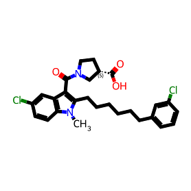 Cn1c(CCCCCCc2cccc(Cl)c2)c(C(=O)N2CC[C@H](C(=O)O)C2)c2cc(Cl)ccc21